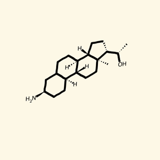 C[C@H](O)[C@H]1CC[C@H]2[C@@H]3CCC4C[C@H](N)CC[C@@H]4[C@H]3CC[C@]12C